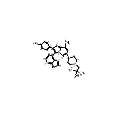 Cc1cc(N2CCN(CC(C)(C)O)CC2)nn2c(-c3ccnc4[nH]ccc34)c(-c3ccc(F)cc3)nc12